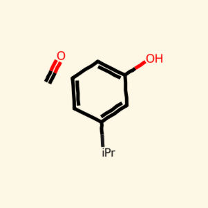 C=O.CC(C)c1cccc(O)c1